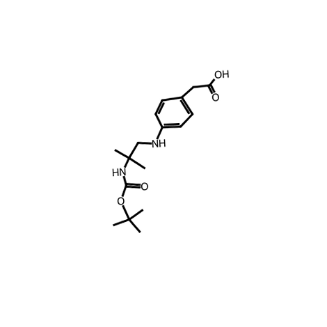 CC(C)(CNc1ccc(CC(=O)O)cc1)NC(=O)OC(C)(C)C